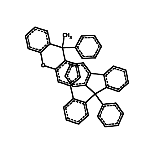 CC1(c2ccccc2)c2ccccc2Oc2cc(-c3ccccc3C3(c4ccccc4)c4ccccc4-c4ccccc43)ccc21